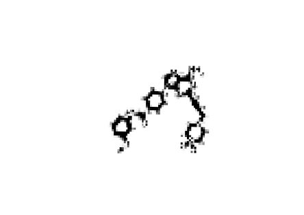 COc1cccc(NC(=O)[C@H]2CC[C@@H](n3cnc4c(N)nc(C#CCN5CCS(=O)(=O)CC5)nc43)CC2)c1